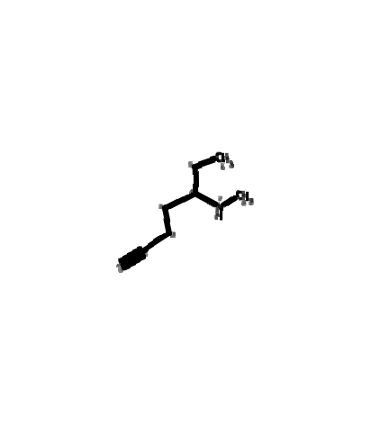 [C]#CCCC(CC)NC